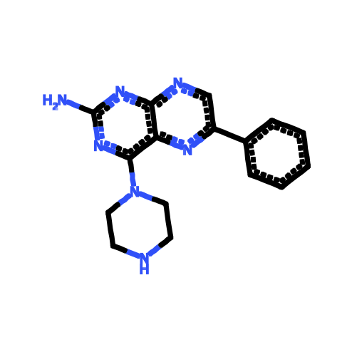 Nc1nc(N2CCNCC2)c2nc(-c3ccccc3)cnc2n1